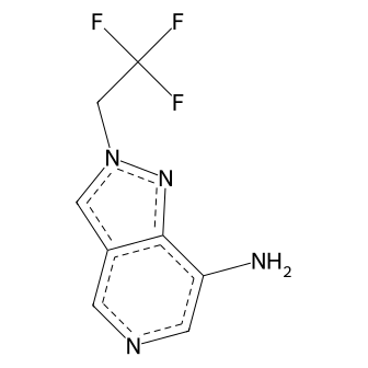 Nc1cncc2cn(CC(F)(F)F)nc12